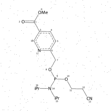 COC(=O)c1ccc(COP(OCCC#N)N(C(C)C)C(C)C)nc1